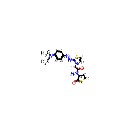 CN(C)c1ccc(/N=N/c2scc[n+]2CC(=O)NC2CCSC2=O)cc1